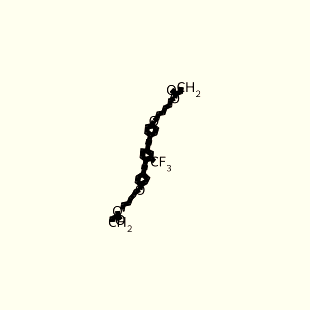 C=CC(=O)OCCCCCCOc1ccc(C#Cc2ccc(C#Cc3ccc(OCCCCCCOC(=O)C=C)cc3)c(C(F)(F)F)c2)cc1